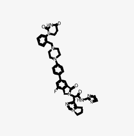 O=C1CCN(c2ccccc2CN2CCN(c3ccc(-c4cc(F)c5c(c4)C(=O)N(C(C(=O)Nc4nccs4)c4ncn6c4CCC6)C5)cc3)CC2)C(=O)N1